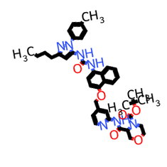 CCCCc1cc(NC(=O)Nc2ccc(OCc3ccnc(NC(=O)C4COCCN4C(=O)OC(C)(C)C)c3)c3ccccc23)n(-c2ccc(C)cc2)n1